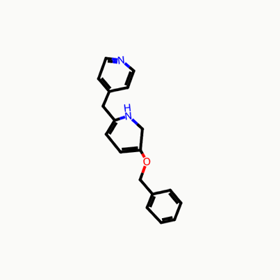 C1=C(Cc2ccncc2)NCC(OCc2ccccc2)=C1